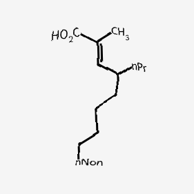 CCCCCCCCCCCCCC(C=C(C)C(=O)O)CCC